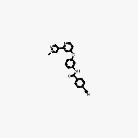 Cn1cc(-c2cc(Oc3cccc(NC(=O)c4ccc(C#N)cc4)c3)ccn2)cn1